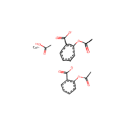 CC(=O)O.CC(=O)Oc1ccccc1C(=O)[O-].CC(=O)Oc1ccccc1C(=O)[O-].[Ca+2]